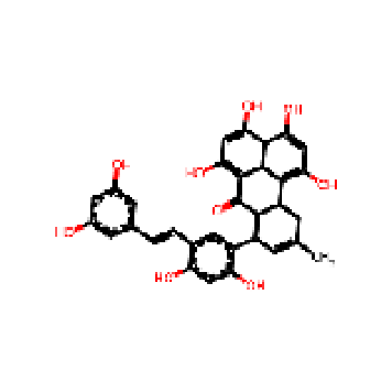 CC1=CC(c2cc(/C=C/c3cc(O)cc(O)c3)c(O)cc2O)C2C(=O)C3=C(O)C=C(O)C4C(O)=CC(O)=C(C2C1)C34